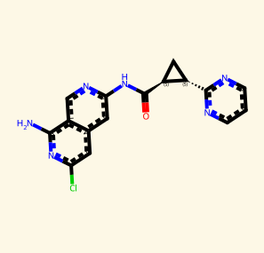 Nc1nc(Cl)cc2cc(NC(=O)[C@H]3C[C@@H]3c3ncccn3)ncc12